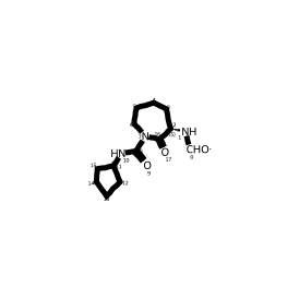 O=[C]N[C@H]1CCCCN(C(=O)NC2CCCC2)C1=O